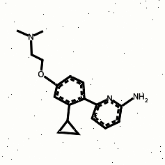 CN(C)CCOc1ccc(-c2cccc(N)n2)c(C2CC2)c1